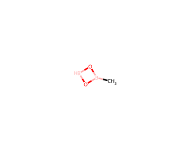 CB1OBO1